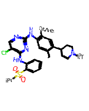 COc1cc(C2CCN(C(C)C)CC2)c(C)cc1Nc1ncc(Cl)c(Nc2ccccc2S(=O)(=O)C(C)C)n1